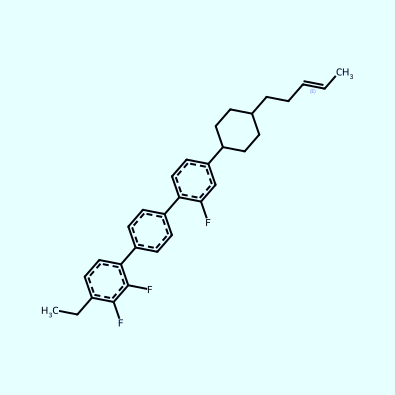 C/C=C/CCC1CCC(c2ccc(-c3ccc(-c4ccc(CC)c(F)c4F)cc3)c(F)c2)CC1